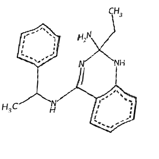 CCC1(N)N=C(NC(C)c2ccccc2)c2ccccc2N1